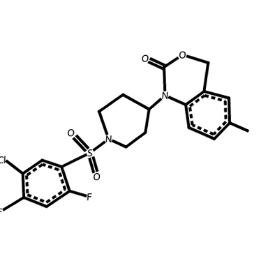 Cc1ccc2c(c1)COC(=O)N2C1CCN(S(=O)(=O)c2cc(Cl)c(F)cc2F)CC1